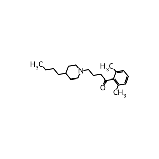 CCCCC1CCN(CCCC(=O)c2c(C)cccc2C)CC1